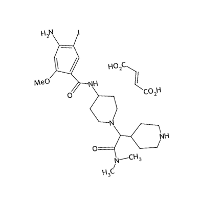 COc1cc(N)c(I)cc1C(=O)NC1CCN(C(C(=O)N(C)C)C2CCNCC2)CC1.O=C(O)C=CC(=O)O